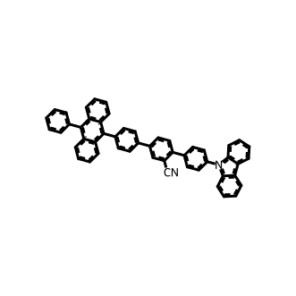 N#Cc1cc(-c2ccc(-c3c4ccccc4c(-c4ccccc4)c4ccccc34)cc2)ccc1-c1ccc(-n2c3ccccc3c3ccccc32)cc1